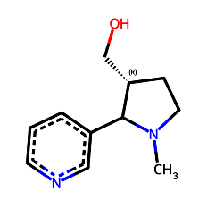 CN1CC[C@@H](CO)C1c1cccnc1